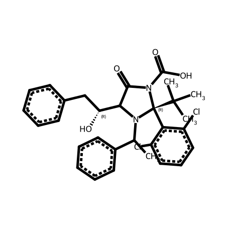 CC(c1ccccc1)N1C([C@H](O)Cc2ccccc2)C(=O)N(C(=O)O)[C@@]1(c1c(Cl)cccc1Cl)C(C)(C)C